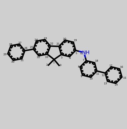 CC1(C)c2cc(Nc3cccc(-c4ccccc4)c3)ccc2-c2ccc(-c3ccccc3)cc21